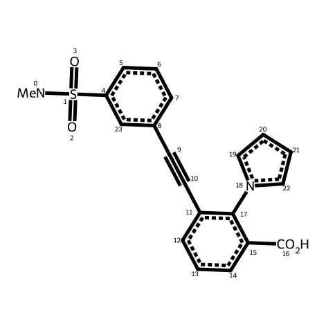 CNS(=O)(=O)c1cccc(C#Cc2cccc(C(=O)O)c2-n2cccc2)c1